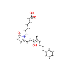 C[C@@H](CCCCc1ccccc1)[C@H](O)C=C[C@H]1CCC(=O)N1CCCCCCC(=O)O